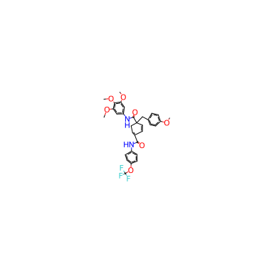 COc1ccc(CC2(C(=O)Nc3cc(OC)c(OC)c(OC)c3)C=CC(C(=O)Nc3ccc(OC(F)(F)F)cc3)=CC2)cc1